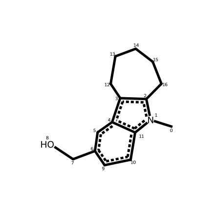 Cn1c2c(c3cc(CO)ccc31)CCCCC2